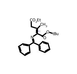 CCOC(=O)C/C(C)=C(\N=C(c1ccccc1)c1ccccc1)C(=O)OC(C)(C)C